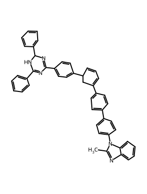 Cc1nc2ccccc2n1-c1ccc(-c2ccc(C3=CC=CC(c4ccc(C5=NC(c6ccccc6)NC(c6ccccc6)=N5)cc4)C3)cc2)cc1